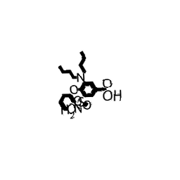 CCCCN(CCCC)c1cc(C(=O)O)cc(S(N)(=O)=O)c1OC1=COC=CC1